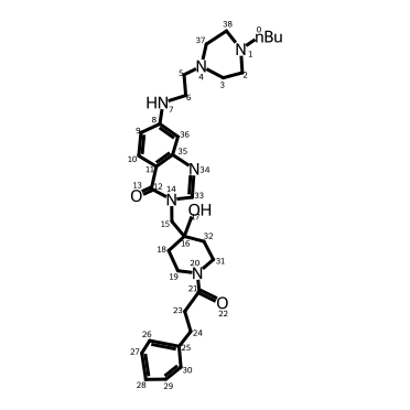 CCCCN1CCN(CCNc2ccc3c(=O)n(CC4(O)CCN(C(=O)CCc5ccccc5)CC4)cnc3c2)CC1